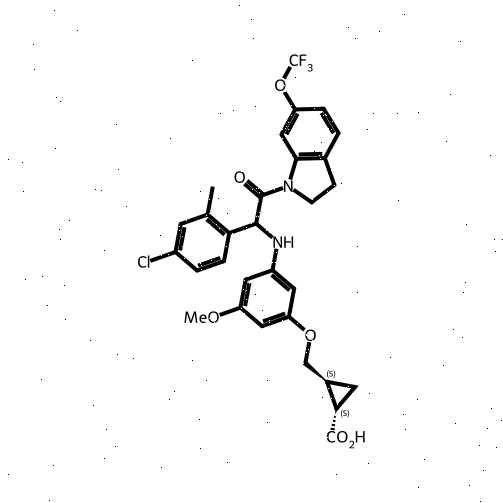 COc1cc(NC(C(=O)N2CCc3ccc(OC(F)(F)F)cc32)c2ccc(Cl)cc2C)cc(OC[C@H]2C[C@@H]2C(=O)O)c1